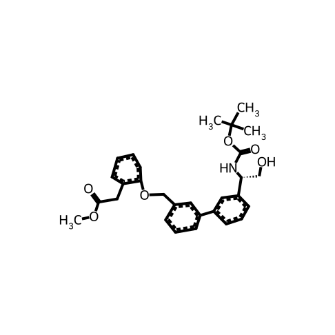 COC(=O)Cc1ccccc1OCc1cccc(-c2cccc([C@@H](CO)NC(=O)OC(C)(C)C)c2)c1